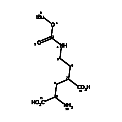 CC(C)(C)OC(=O)NCCC(CC(N)C(=O)O)C(=O)O